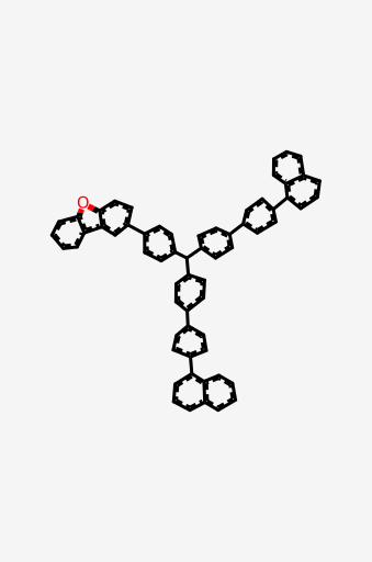 c1ccc2c(-c3ccc(-c4ccc(C(c5ccc(-c6ccc(-c7cccc8ccccc78)cc6)cc5)c5ccc(-c6ccc7oc8ccccc8c7c6)cc5)cc4)cc3)cccc2c1